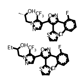 CCC(O)Cn1ncc(-c2onc(-c3c(F)cccc3Cl)c2-c2nccs2)c1C(F)(F)F.C[C@H](O)Cn1ncc(-c2onc(-c3c(F)cccc3Cl)c2-c2nccs2)c1C(F)(F)F